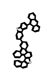 c1ccc2c(-c3ccc4sc5ccc(-c6ccc7c(c6)c6ccccc6c6c7ccc7oc8ccc9ccccc9c8c76)cc5c4c3)c3ccccc3cc2c1